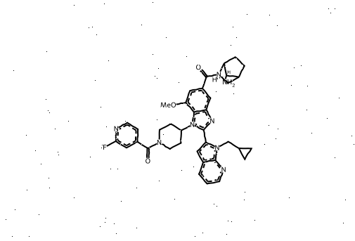 COc1cc(C(=O)N2CC3CCC2[C@@H]3N)cc2nc(-c3cc4cccnc4n3CC3CC3)n(C3CCN(C(=O)c4ccnc(F)c4)CC3)c12